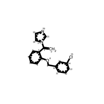 C=C(c1ccccc1OCc1cccc(Cl)c1)n1ccnc1